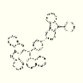 c1ccc(-n2c3ccccc3c3cc(-c4ccc(N(c5cccc6ccccc56)c5cc6ccccc6c6oc7ccccc7c56)cc4)ccc32)cc1